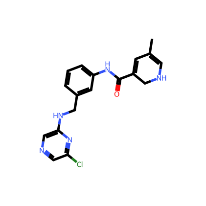 CC1=CNCC(C(=O)Nc2cccc(CNc3cncc(Cl)n3)c2)=C1